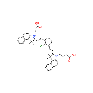 CC1(C)C(/C=C/C2=C(Cl)C(=C/C=C3/N(CCCC(=O)O)c4ccc5ccccc5c4C3(C)C)/CCC2)=[N+](CCC(=O)O)c2ccc3ccccc3c21